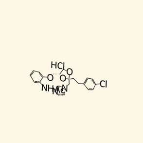 CC(=O)Nc1ccccc1OC[C@@H]1CO[C@](CCc2ccc(Cl)cc2)(Cn2ccnc2)O1.Cl